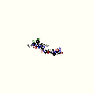 COc1ncc(C(=O)N2CCC(OCC#Cc3cccc4c3n(C)c(=O)n4[C@H]3CCC(=O)NC3=O)CC2)cc1-c1nc2c(n1C(C)C)[C@H](c1ccc(Cl)cc1)N(c1cc(Cl)cn(C)c1=O)C2=O